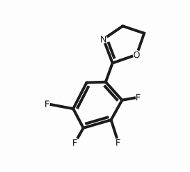 Fc1cc(C2=NCCO2)c(F)c(F)c1F